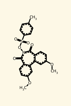 COc1ccc2c(=O)n(OS(=O)(=O)c3ccc(C)cc3)c(=O)c3ccc(OC)cc3c2c1